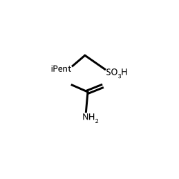 C=C(C)N.CCCC(C)CS(=O)(=O)O